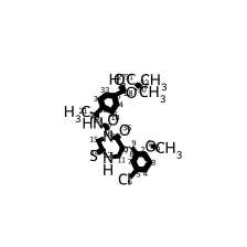 COc1ccc(Cl)cc1C[C@@H]1CNC(=S)CN(C(=O)N[C@H](C)c2ccc(C(=O)OC(C)(C)C)cc2)C1=O